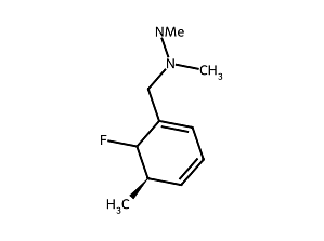 CNN(C)CC1=CC=C[C@@H](C)C1F